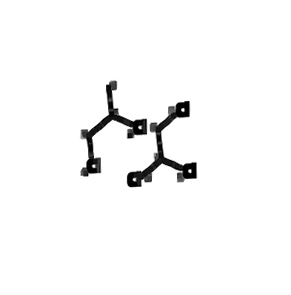 CC(Cl)CCl.ClCC(Cl)Cl